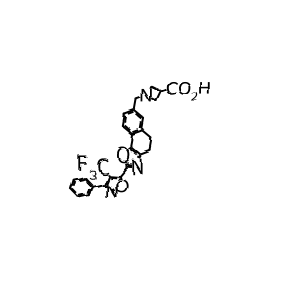 O=C(O)C1CN(Cc2ccc3c(c2)CCc2nc(-c4onc(-c5ccccc5)c4C(F)(F)F)oc2-3)C1